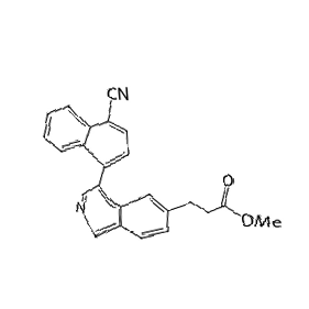 COC(=O)CCc1ccc2cncc(-c3ccc(C#N)c4ccccc34)c2c1